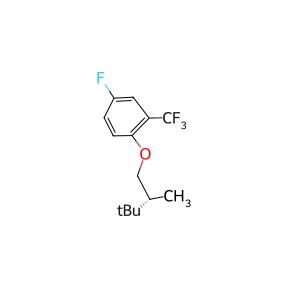 C[C@@H](COc1ccc(F)cc1C(F)(F)F)C(C)(C)C